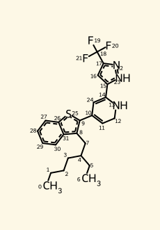 CCCCC(CC)Cc1c(C2=CCNC(c3cc(C(F)(F)F)n[nH]3)=C2)sc2ccccc12